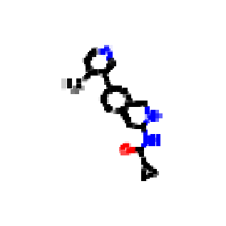 Cc1ccncc1-c1ccc2c(c1)=CNC(NC(=O)C1CC1)C=2